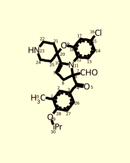 Cc1cc(C(=O)C2(C=O)CC=C3N2c2ccc(Cl)cc2OC32CCNCC2)ccc1OC(C)C